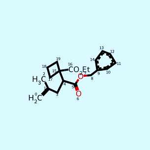 C=C(C)CC(C(=O)OCc1ccccc1)C1(C(=O)OCC)CCC1